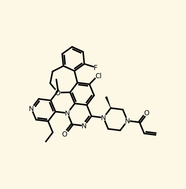 C=CC(=O)N1CCN(c2nc(=O)n(-c3c(CC)cncc3CC)c3c4c(c(Cl)cc23)-c2c(F)cccc2CCO4)[C@@H](C)C1